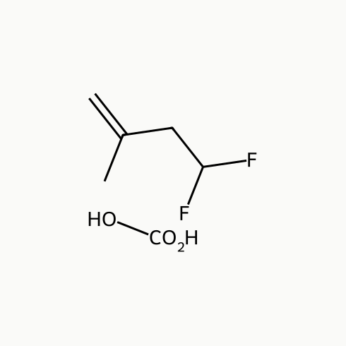 C=C(C)CC(F)F.O=C(O)O